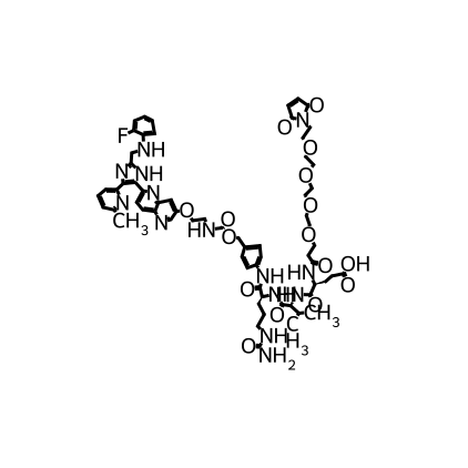 Cc1cccc(-c2nc(CNc3ccccc3F)[nH]c2-c2ccc3ncc(OCCNC(=O)OCc4ccc(NC(=O)[C@H](CCCNC(N)=O)NC(=O)[C@@H](NC(=O)[C@H](CCC(=O)O)NC(=O)CCOCCOCCOCCOCCN5C(=O)C=CC5=O)C(C)C)cc4)cc3n2)n1